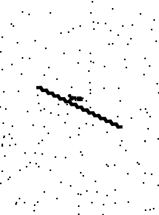 Br.CCCCCCCCCCCCCCCCCCC(CCCCCCCCCCC)N(C)C